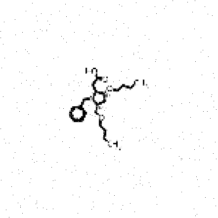 CCCCOC[C@@H]1C[C@H](OCCCC)C(CC(=O)O)N1Cc1ccccc1